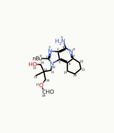 CCCCc1nc2c(N)nc3c(c2n1CC(C)(CO)COC=O)CCCC3